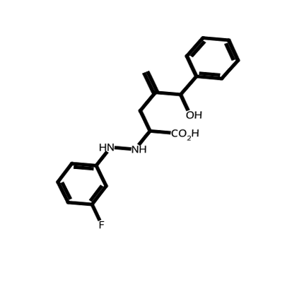 C=C(CC(NNc1cccc(F)c1)C(=O)O)C(O)c1ccccc1